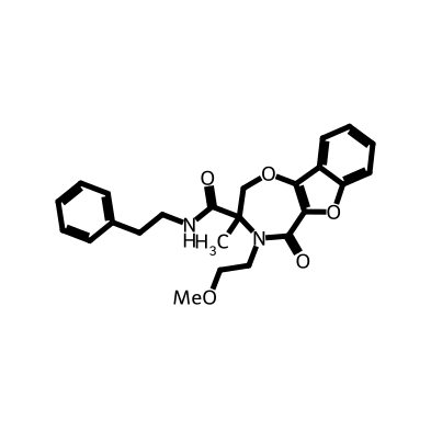 COCCN1C(=O)c2oc3ccccc3c2OCC1(C)C(=O)NCCc1ccccc1